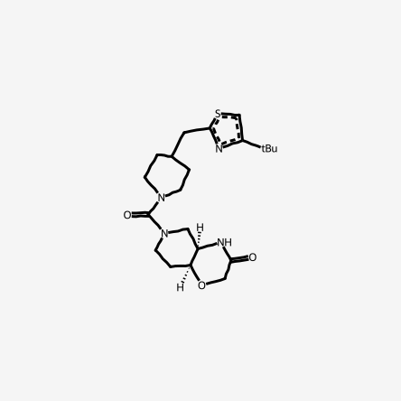 CC(C)(C)c1csc(CC2CCN(C(=O)N3CC[C@@H]4OCC(=O)N[C@@H]4C3)CC2)n1